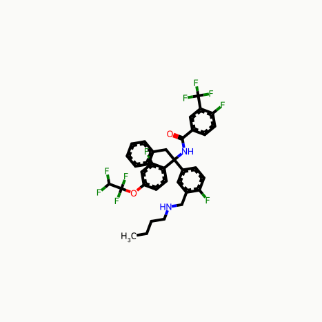 CCCCNCc1cc(C(Cc2ccccc2)(NC(=O)c2ccc(F)c(C(F)(F)F)c2)c2ccc(OC(F)(F)C(F)F)cc2F)ccc1F